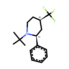 CC(C)(C)N1CC[C@@H](C(F)(F)F)C[C@H]1c1ccccc1